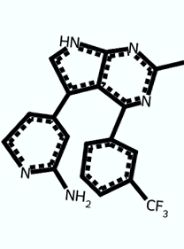 Cc1nc(-c2cccc(C(F)(F)F)c2)c2c(-c3ccnc(N)c3)c[nH]c2n1